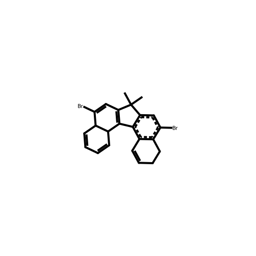 CC1(C)C2=C(c3c1cc(Br)c1c3C=CCC1)C1C=CC=CC1C(Br)=C2